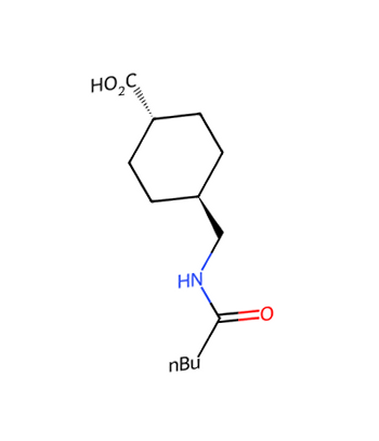 CCCCC(=O)NC[C@H]1CC[C@H](C(=O)O)CC1